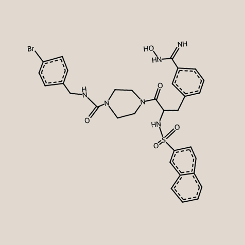 N=C(NO)c1cccc(CC(NS(=O)(=O)c2ccc3ccccc3c2)C(=O)N2CCN(C(=O)NCc3ccc(Br)cc3)CC2)c1